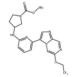 CC(C)(C)OC(=O)N1CCC(Nc2cccc(-c3cnc4cnc(OCC(F)(F)F)cn34)n2)C1